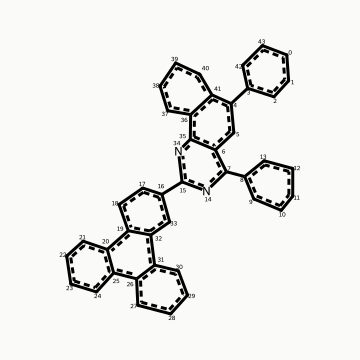 c1ccc(-c2cc3c(-c4ccccc4)nc(-c4ccc5c6ccccc6c6ccccc6c5c4)nc3c3ccccc23)cc1